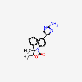 CC1OC(=O)N(c2ccc(-c3cnc(N)nc3)cc2)[C@@]1(C)c1ccccc1